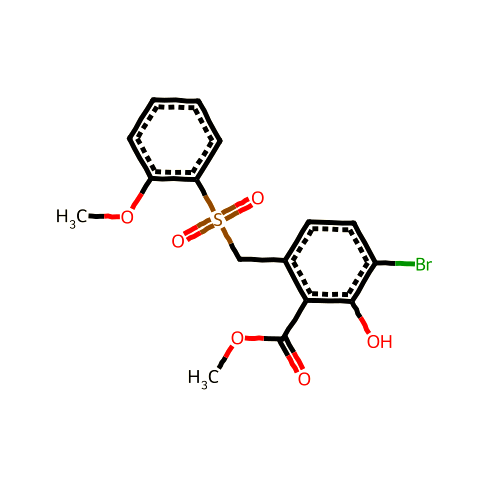 COC(=O)c1c(CS(=O)(=O)c2ccccc2OC)ccc(Br)c1O